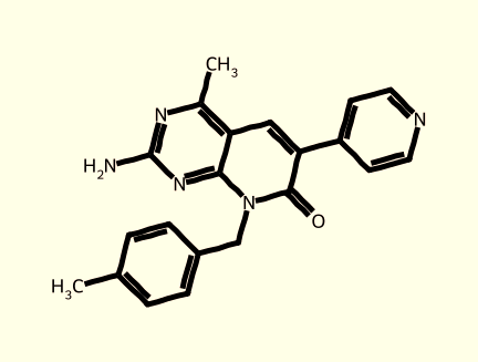 Cc1ccc(Cn2c(=O)c(-c3ccncc3)cc3c(C)nc(N)nc32)cc1